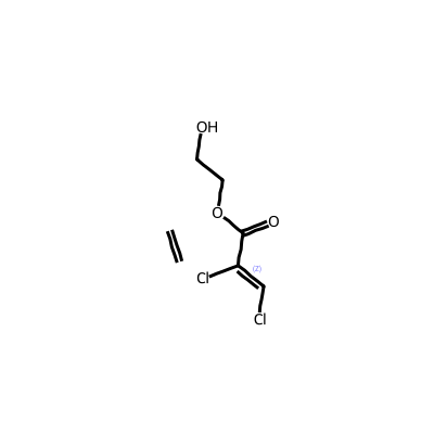 C=C.O=C(OCCO)/C(Cl)=C/Cl